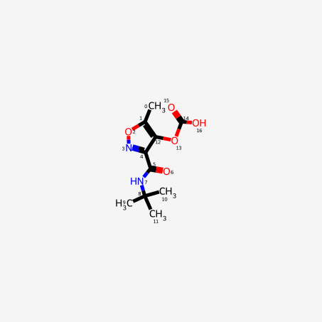 Cc1onc(C(=O)NC(C)(C)C)c1OC(=O)O